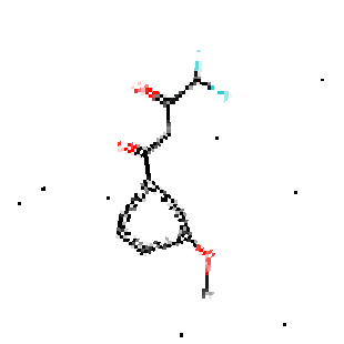 CCOc1cccc(C(=O)CC(=O)C(F)F)c1